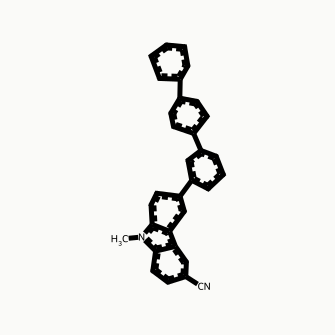 Cn1c2ccc(C#N)cc2c2cc(-c3cccc(-c4ccc(-c5ccccc5)cc4)c3)ccc21